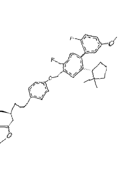 COC(=O)C[C@@H](C)CCc1ccc(OCc2cc([C@@H]3CCCC3(C)C)c(-c3cc(OC)ccc3F)cc2F)cc1